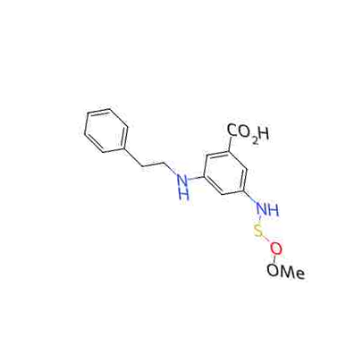 COOSNc1cc(NCCc2ccccc2)cc(C(=O)O)c1